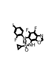 O=S(=O)(Nc1c(Nc2ccc(I)cc2F)c(F)c(F)c2ncoc12)C1CC1